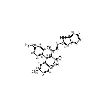 O=C(C=Cc1nc2ccccc2[nH]1)c1c(-c2ccc(C(F)(F)F)cc2)c2cc(Cl)ccc2[nH]c1=O